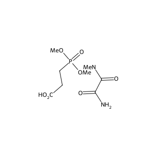 CNC(=O)C(N)=O.COP(=O)(CCC(=O)O)OC